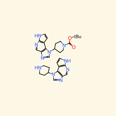 CC(C)(C)OC(=O)N1CCC(n2cnc3cnc4[nH]ccc4c32)CC1.c1cc2c(ncc3ncn(C4CCNCC4)c32)[nH]1